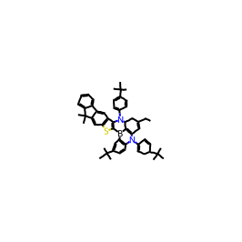 CCC1=CC2=C3B(c4cc(C(C)(C)C)ccc4N2C2=CCC(C(C)(C)C)C=C2)c2sc4cc5c(cc4c2N(c2ccc(C(C)(C)C)cc2)C3C1)-c1ccccc1C5(C)C